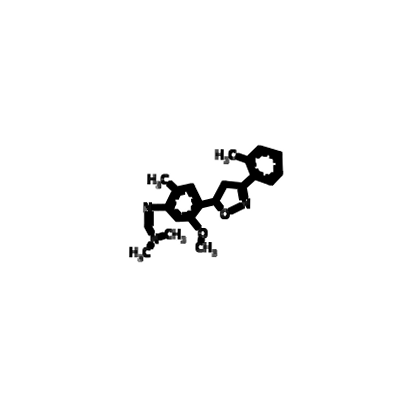 COc1cc(/N=C\N(C)C)c(C)cc1C1CC(c2ccccc2C)=NO1